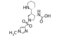 Cn1cnc(S(=O)(=O)N2C[C@@H]([C@H]3CCCCN3)[C@H](NC(=O)O)C2)c1